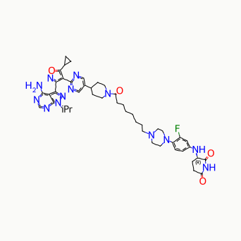 CC(C)n1nc(-c2noc(C3CC3)c2-c2ncc(C3CCN(C(=O)CCCCCCCN4CCN(c5ccc(N[C@@H]6CCC(=O)NC6=O)cc5F)CC4)CC3)cn2)c2c(N)ncnc21